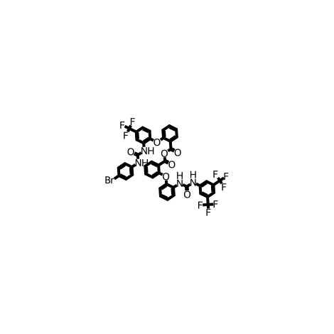 O=C(Nc1cc(C(F)(F)F)cc(C(F)(F)F)c1)Nc1ccccc1Oc1ccccc1C(=O)OC(=O)c1ccccc1Oc1ccc(C(F)(F)F)cc1NC(=O)Nc1ccc(Br)cc1